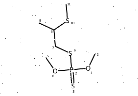 COP(=S)(OC)SCC(C)SC